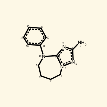 Nc1nc2n(n1)CCCCN2c1ccccc1